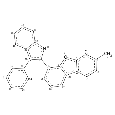 Cc1ccc2c(n1)oc1c(-c3nc4ccccc4n3-c3ccccc3)cccc12